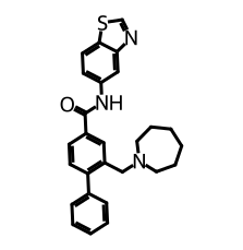 O=C(Nc1ccc2scnc2c1)c1ccc(-c2ccccc2)c(CN2CCCCCC2)c1